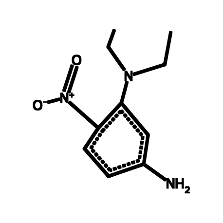 CCN(CC)c1cc(N)ccc1[N+](=O)[O-]